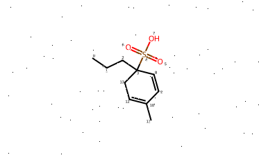 CCCC1(S(=O)(=O)O)C=CC(C)=CC1